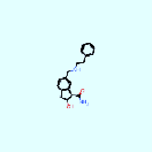 NC(=O)[C@@H]1c2cc(CNCCc3ccccc3)ccc2C[C@H]1O